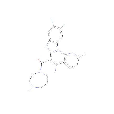 Cc1ccc2c(N)c(C(=O)N3CCCN(C)CC3)c3nc4cc(F)c(F)cc4n3c2n1